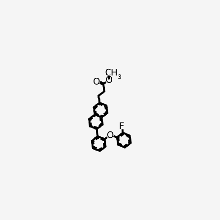 COC(=O)CCc1ccc2cc(-c3ccccc3Oc3ccccc3F)ccc2c1